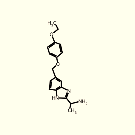 CCOc1ccc(OCc2ccc3[nH]c(C(C)N)nc3c2)cc1